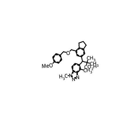 COc1ccc(COCc2cc(C(c3ccc4c(nnn4C)c3C)C(C)(C)C(=O)O)cc3c2CCC3)cc1